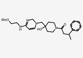 COCCNC1=NCN(CC2(O)CCN(C(=O)CC(C)c3ccccc3)CC2)C=C1